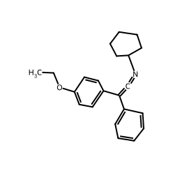 CCOc1ccc(C(=C=NC2CCCCC2)c2ccccc2)cc1